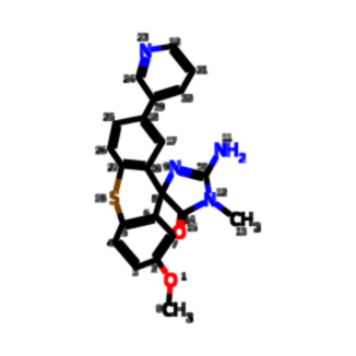 COc1ccc2c(c1)C1(N=C(N)N(C)C1=O)c1cc(-c3cccnc3)ccc1S2